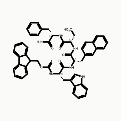 NC(=O)[C@H](Cc1ccccc1)NC(=O)[C@H](CC(=O)O)NC(=O)[C@H](Cc1ccc2ccccc2c1)NC(=O)[C@H](Cc1c[nH]c2ccccc12)NC(=O)OCC1c2ccccc2-c2ccccc21